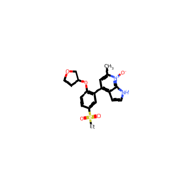 CCS(=O)(=O)c1ccc(OC2CCOC2)c(-c2cc(C)[n+]([O-])c3[nH]ccc23)c1